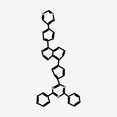 c1ccc(-c2nc(-c3ccccc3)nc(-c3ccc(-c4cccc5c(-c6ccc(-c7cncnc7)cc6)cccc45)cc3)n2)cc1